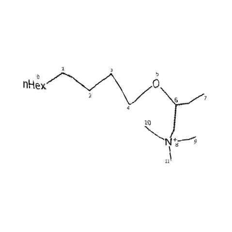 CCCCCCCCCCOC(C)[N+](C)(C)C